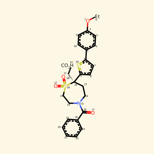 CCOc1ccc(-c2ccc([C@@]3(CC(=O)O)CCN(C(=O)c4ccccc4)CCS3(=O)=O)s2)cc1